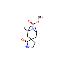 CC(C)(C)OC(=O)N1C2CC[C@H]1CC1(CCNC1=O)C2